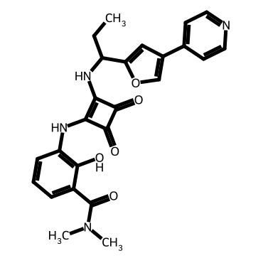 CCC(Nc1c(Nc2cccc(C(=O)N(C)C)c2O)c(=O)c1=O)c1cc(-c2ccncc2)co1